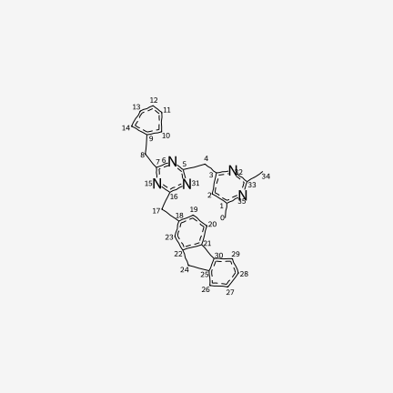 Cc1cc(Cc2nc(Cc3ccccc3)nc(Cc3ccc4c(c3)Cc3ccccc3-4)n2)nc(C)n1